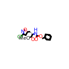 COC(=O)[C@H](CC1CC(Cl)=NO1)NC(=O)OCc1ccccc1